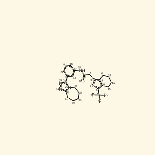 O=C(Cn1nc(C(F)(F)F)c2c1CCCC2)Nc1cccc(-c2nnc3n2CCCCC3)c1